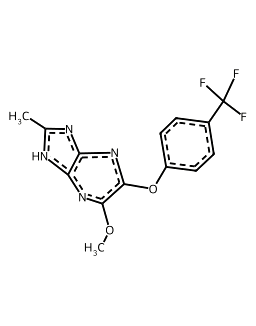 COc1nc2[nH]c(C)nc2nc1Oc1ccc(C(F)(F)F)cc1